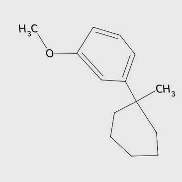 COc1cccc(C2(C)CCCCC2)c1